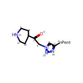 CCCCCc1cn(CC(=O)C2CCNCC2)nn1